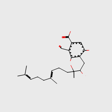 CC(C)=CCC/C(C)=C/CCC1(C)Oc2c(C=O)c(C(=O)O)cc(O)c2CC1O